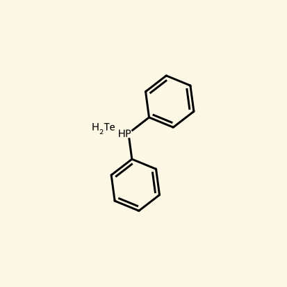 [TeH2].c1ccc(Pc2ccccc2)cc1